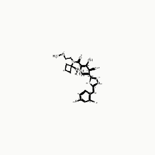 CNC1(N(CCOC)C(=O)c2[nH]cc(-c3nnc(Cc4ccc(F)cc4F)s3)c(=O)c2O)CCC1